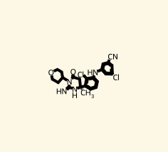 C[C@@]1(c2cccc(Nc3cc(Cl)cc(C#N)c3)c2Cl)CC(=O)N(C2CCOCC2)C(=N)N1